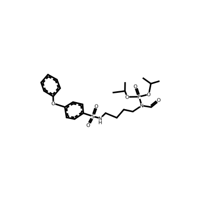 CC(C)OP(=O)(OC(C)C)N(C=O)CCCCNS(=O)(=O)c1ccc(Oc2ccccc2)cc1